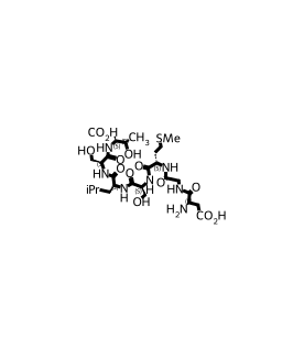 CSCC[C@H](NC(=O)CNC(=O)[C@@H](N)CC(=O)O)C(=O)N[C@@H](CO)C(=O)N[C@@H](CC(C)C)C(=O)N[C@@H](CO)C(=O)N[C@H](C(=O)O)[C@@H](C)O